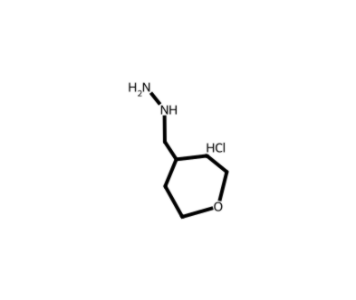 Cl.NNCC1CCOCC1